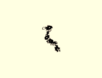 O=C(NCc1cccnc1)c1ccc2c(c1)ncn2-c1ccc(OCCOc2cccc(Cl)c2)cc1